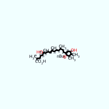 CCCCOC1C(CCC(C)CCC/C(C)=C/CCC(C)(O)CCCC(C)C(=O)O)=CC(O)C(C)C1C